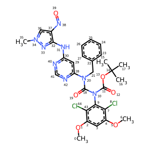 COc1cc(OC)c(Cl)c(N(C(=O)OC(C)(C)C)C(=O)N(Cc2ccccc2)c2cc(Nc3nn(C)cc3N=O)ncn2)c1Cl